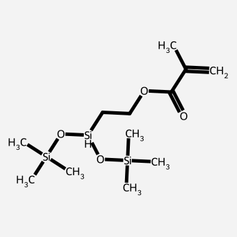 C=C(C)C(=O)OCC[SiH](O[Si](C)(C)C)O[Si](C)(C)C